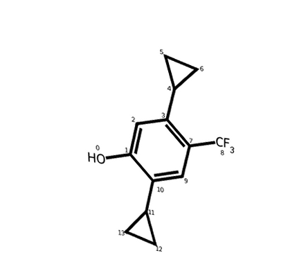 Oc1cc(C2CC2)c(C(F)(F)F)cc1C1CC1